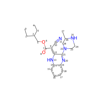 CCC(CC)COC(=O)C(C#N)=C1Nc2ccccc2N=C1N1CCNC(C)C1